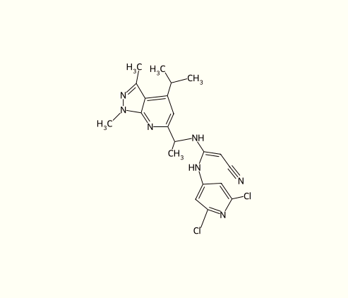 Cc1nn(C)c2nc(C(C)N/C(=C/C#N)Nc3cc(Cl)nc(Cl)c3)cc(C(C)C)c12